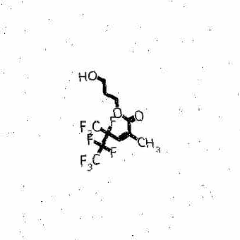 CC(=CC(F)(C(F)(F)F)C(F)(F)C(F)(F)F)C(=O)OCCCO